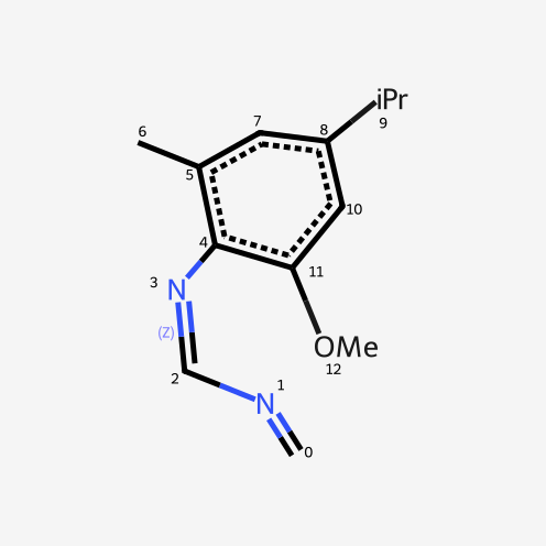 C=N/C=N\c1c(C)cc(C(C)C)cc1OC